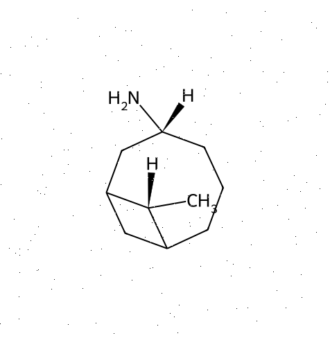 C[C@@H]1C2CCC[C@@H](N)CC1C2